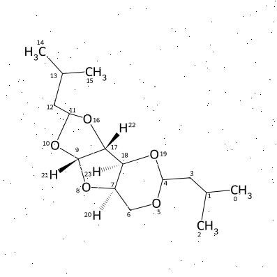 CC(C)CC1OC[C@H]2O[C@@H]3OC(CC(C)C)O[C@@H]3[C@H]2O1